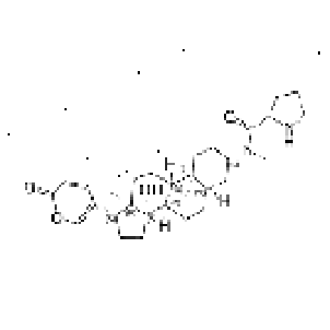 CN(C(=O)C1CCCN1)[C@H]1CC[C@@]2(C)[C@H](CC[C@@H]3[C@@H]2CC[C@]2(C)[C@@H](c4ccc(=O)oc4)CC[C@]32O)C1